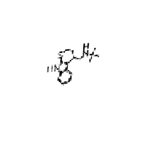 CC(C)(C)NCC1CCSc2[nH]c3ccccc3c21